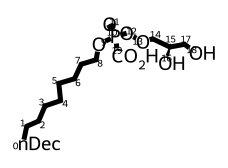 CCCCCCCCCCCCCCCCCCOP(=O)(OOC[C@H](O)CO)C(=O)O